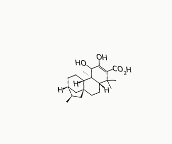 C[C@@H]1C[C@]23CC[C@H]4C(C)(C)C(C(=O)O)=C(O)C(O)[C@]4(C)[C@H]2CC[C@@H]1C3